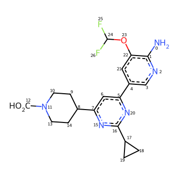 Nc1ncc(-c2cc(C3CCN(C(=O)O)CC3)nc(C3CC3)n2)cc1OC(F)F